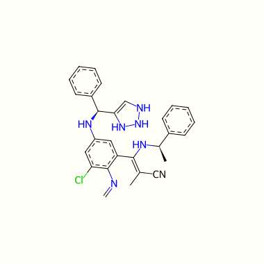 C=Nc1c(Cl)cc(N[C@H](C2=CNNN2)c2ccccc2)cc1/C(N[C@H](C)c1ccccc1)=C(\C)C#N